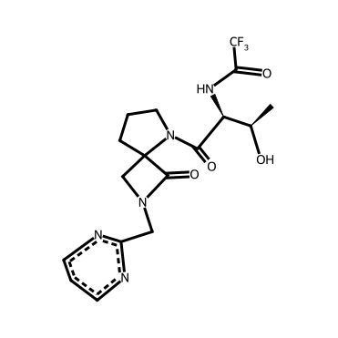 C[C@@H](O)[C@H](NC(=O)C(F)(F)F)C(=O)N1CCCC12CN(Cc1ncccn1)C2=O